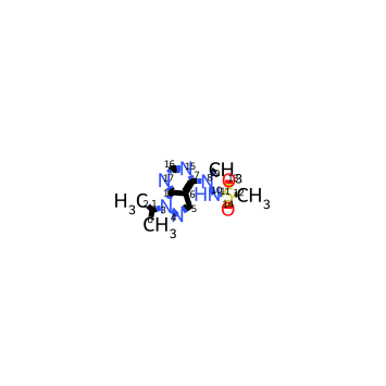 CC(C)n1ncc2c(N(C)NS(C)(=O)=O)ncnc21